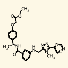 CCOC(=O)COc1ccc([C@@H](C)NC(=O)c2cccc(NCc3nnc(-c4ccncn4)n3C)c2)cc1